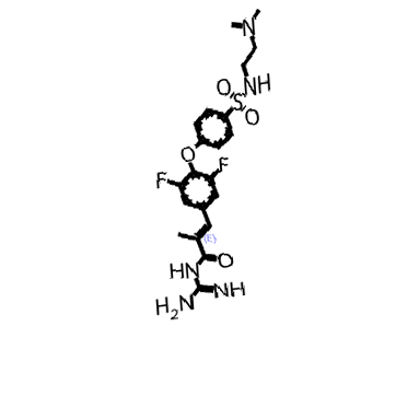 C/C(=C\c1cc(F)c(Oc2ccc(S(=O)(=O)NCCN(C)C)cc2)c(F)c1)C(=O)NC(=N)N